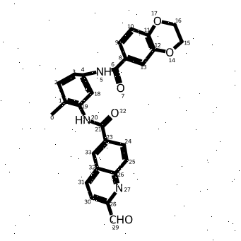 Cc1ccc(NC(=O)c2ccc3c(c2)OCCO3)cc1NC(=O)c1ccc2nc(C=O)ccc2c1